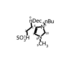 CCCCCCCCCCCCS(=O)(=O)O.CCCCN1C=CN(C)C1